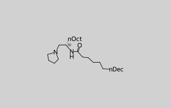 CCCCCCCCCCCCCCCC(=O)N[C@@H](CCCCCCCC)CN1CCCC1